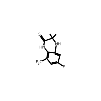 CC1(C)Nc2cc(F)cc(C(F)(F)F)c2NC1=S